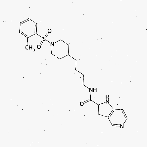 Cc1ccccc1S(=O)(=O)N1CCC(CCCCNC(=O)C2Cc3cnccc3N2)CC1